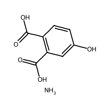 N.O=C(O)c1ccc(O)cc1C(=O)O